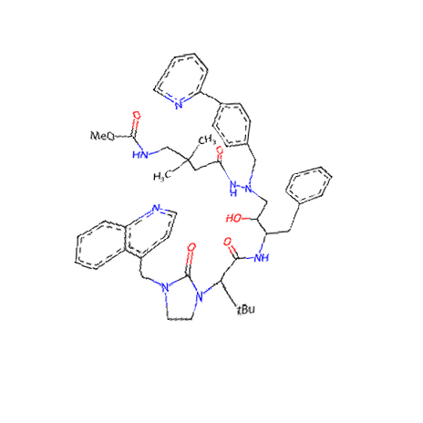 COC(=O)NCC(C)(C)CC(=O)NN(Cc1ccc(-c2ccccn2)cc1)CC(O)C(Cc1ccccc1)NC(=O)C(N1CCN(Cc2ccnc3ccccc23)C1=O)C(C)(C)C